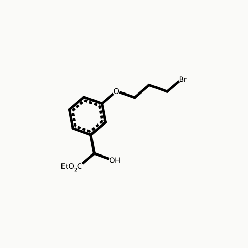 CCOC(=O)C(O)c1cccc(OCCCBr)c1